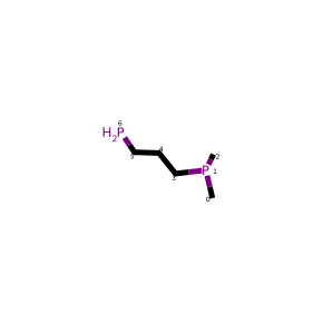 CP(C)CCCP